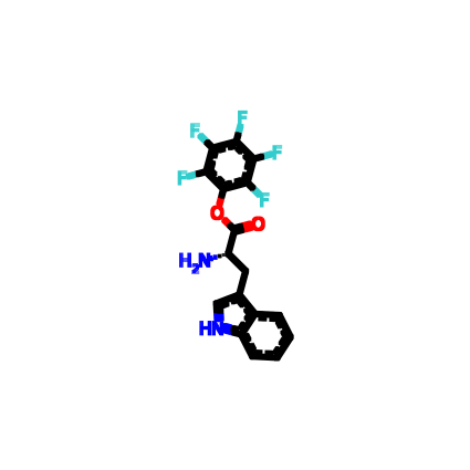 N[C@@H](Cc1c[nH]c2ccccc12)C(=O)Oc1c(F)c(F)c(F)c(F)c1F